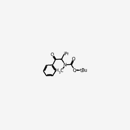 CC(C)C(C(=O)c1ccccc1)N(C)C(=O)OC(C)(C)C